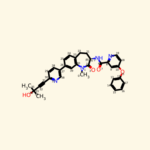 CN1C(=O)[C@H](NC(=O)c2cc(Oc3ccccc3)ccn2)CCc2ccc(-c3ccc(C#CC(C)(C)O)nc3)cc21